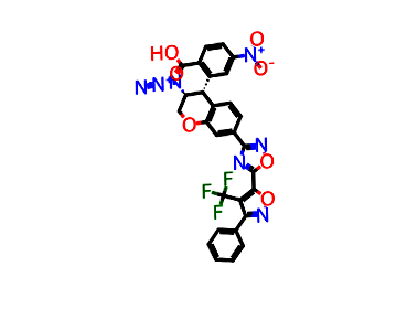 [N-]=[N+]=N[C@H]1COc2cc(-c3noc(-c4onc(-c5ccccc5)c4C(F)(F)F)n3)ccc2[C@H]1c1cc([N+](=O)[O-])ccc1C(=O)O